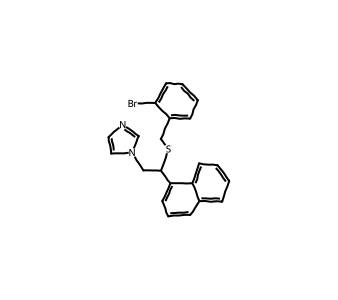 Brc1ccccc1CSC(Cn1ccnc1)c1cccc2ccccc12